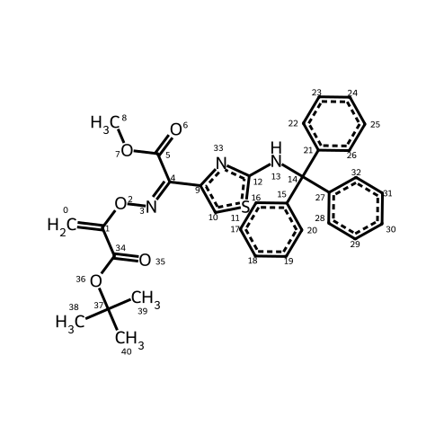 C=C(O/N=C(\C(=O)OC)c1csc(NC(c2ccccc2)(c2ccccc2)c2ccccc2)n1)C(=O)OC(C)(C)C